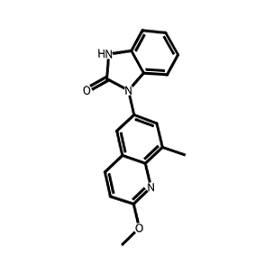 COc1ccc2cc(-n3c(=O)[nH]c4ccccc43)cc(C)c2n1